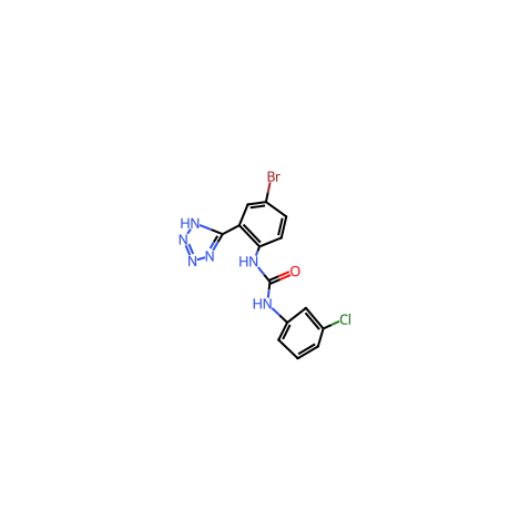 O=C(Nc1cccc(Cl)c1)Nc1ccc(Br)cc1-c1nnn[nH]1